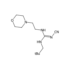 CC(C)(C)CN/C(=N/C#N)NCCN1CCOCC1